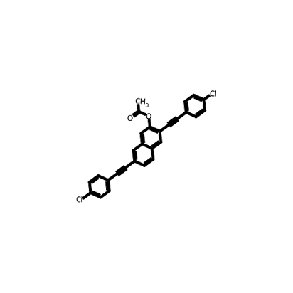 CC(=O)Oc1cc2cc(C#Cc3ccc(Cl)cc3)ccc2cc1C#Cc1ccc(Cl)cc1